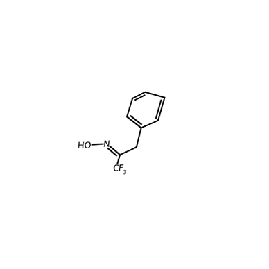 ON=C(Cc1ccccc1)C(F)(F)F